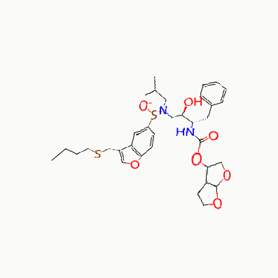 CCCCSCc1coc2ccc([S+]([O-])N(CC(C)C)C[C@@H](O)[C@H](Cc3ccccc3)NC(=O)OC3COC4OCCC34)cc12